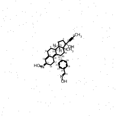 CC#C[C@]1(O)CC[C@H]2[C@@H]3CCC4=CC(=NO)CCC4=C3[C@@H](c3ccc(C=NO)cc3)C[C@@]21C